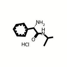 CC(C)NC(=O)[C@@H](N)c1ccccc1.Cl